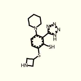 Sc1c(SC2CNC2)ccc(N2CCCCC2)c1-c1nnn[nH]1